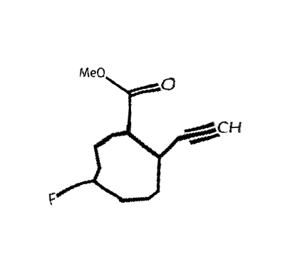 C#CC1CCC(F)CC1C(=O)OC